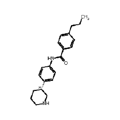 CCCc1ccc(C(=O)Nc2ccc([C@H]3CCCNC3)cc2)cc1